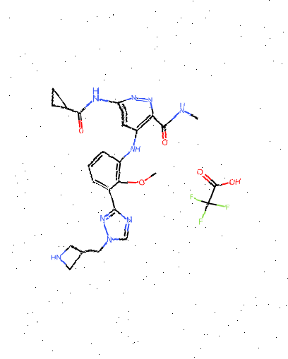 CNC(=O)c1nnc(NC(=O)C2CC2)cc1Nc1cccc(-c2ncn(CC3CNC3)n2)c1OC.O=C(O)C(F)(F)F